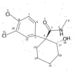 CNC(=O)[C@]1(c2ccc(Cl)c(Cl)c2)CCCC[C@H]1O